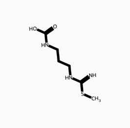 CSC(=N)NCCCNC(=O)O